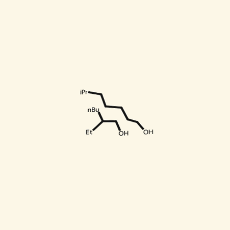 CC(C)CCCCCO.CCCCC(CC)CO